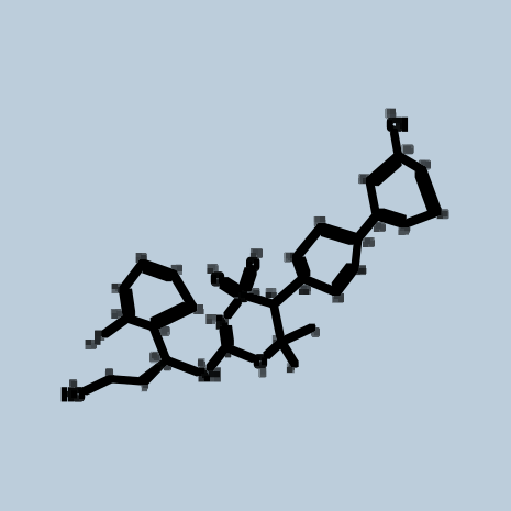 CC1(C)OC(N[C@@H](CCO)c2ccccc2F)=NS(=O)(=O)C1c1ccc(-c2cccc(C#N)c2)cc1